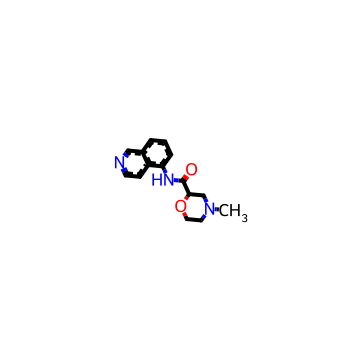 CN1CCOC(C(=O)Nc2cccc3cnccc23)C1